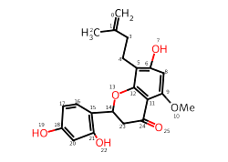 C=C(C)CCc1c(O)cc(OC)c2c1OC(c1ccc(O)cc1O)CC2=O